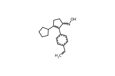 C=Cc1ccc(C2=C(C3CCCC3)CC/C2=N\O)cc1